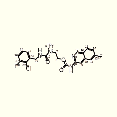 CC(C)N(CCOC(=O)Nc1cc2cc(F)ccc2cn1)C(=O)NCc1cccc(F)c1Cl